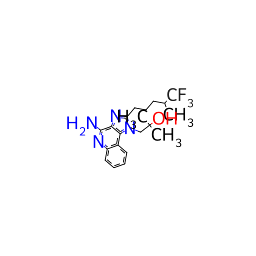 CC(CCCc1nc2c(N)nc3ccccc3c2n1CC(C)(C)O)C(F)(F)F